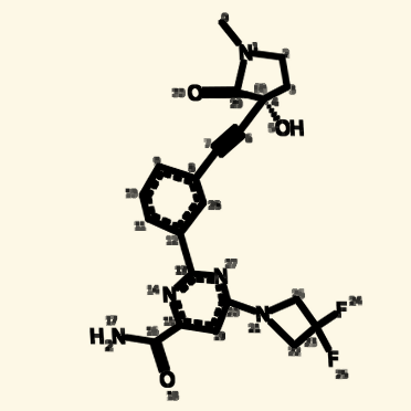 CN1CC[C@@](O)(C#Cc2cccc(-c3nc(C(N)=O)cc(N4CC(F)(F)C4)n3)c2)C1=O